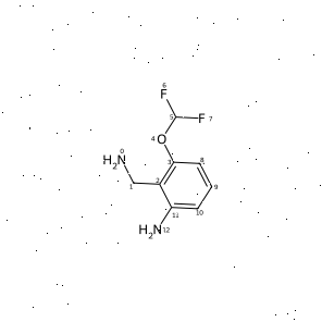 NCc1c(OC(F)F)[c]ccc1N